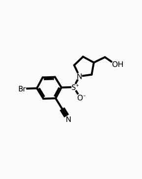 N#Cc1cc(Br)ccc1[S+]([O-])N1CCC(CO)C1